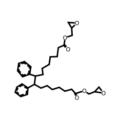 O=C(CCCCCCC(c1ccccc1)C(CCCCCCC(=O)OCC1CO1)c1ccccc1)OCC1CO1